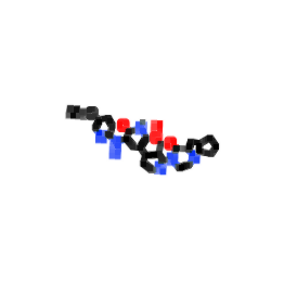 COc1ccc(Nc2cc(-c3ccnc(-n4ccn5c6c(cc5c4=O)CCC6)c3CO)cn(C)c2=O)nc1